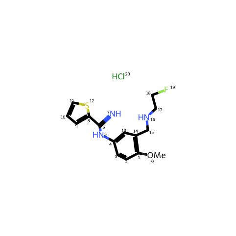 COc1ccc(NC(=N)c2cccs2)cc1CNCCF.Cl